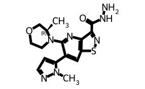 C[C@@H]1COCCN1c1nc2c(C(=O)NN)nsc2cc1-c1ccnn1C